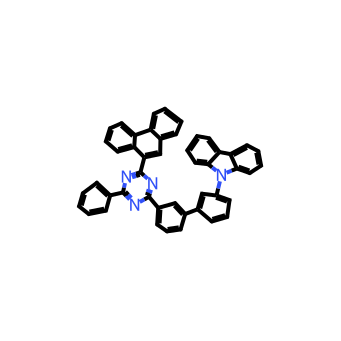 c1ccc(-c2nc(-c3cccc(-c4cccc(-n5c6ccccc6c6ccccc65)c4)c3)nc(-c3cc4ccccc4c4ccccc34)n2)cc1